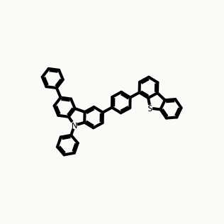 c1ccc(-c2ccc3c(c2)c2cc(-c4ccc(-c5cccc6c5sc5ccccc56)cc4)ccc2n3-c2ccccc2)cc1